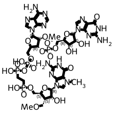 COC[C@H]1[C@@H](O)[C@H](n2c[n+](C)c3c(=O)[nH]c(N)nc32)O[C@@H]1COP(=O)(O)CCP(=O)(O)OP(=O)(O)OCC1O[C@@H](n2cnc3c(N)ncnc32)[C@H](OC)[C@@H]1OP(=O)([O-])OC[C@H]1O[C@@H](n2cnc3c(=O)[nH]c(N)nc32)[C@H](O)[C@@H]1O